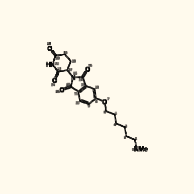 CNCCCCCCOc1ccc2c(c1)C(=O)N(C1CCC(=O)NC1=O)C2=O